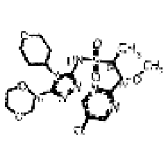 CO[C@H](c1ncc(Cl)cn1)[C@H](C)S(=O)(=O)Nc1nnc([C@H]2COCCO2)n1C1CCOCC1